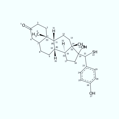 C[C@]12CCC(=O)CC1CC[C@@H]1[C@H]2CC[C@@]2(C)[C@H]1CCC2(O)C(S)c1ccc(O)cc1